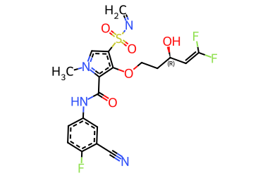 C=NS(=O)(=O)c1cn(C)c(C(=O)Nc2ccc(F)c(C#N)c2)c1OCC[C@@H](O)C=C(F)F